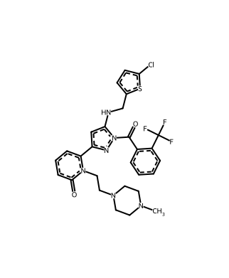 CN1CCN(CCn2c(-c3cc(NCc4ccc(Cl)s4)n(C(=O)c4ccccc4C(F)(F)F)n3)cccc2=O)CC1